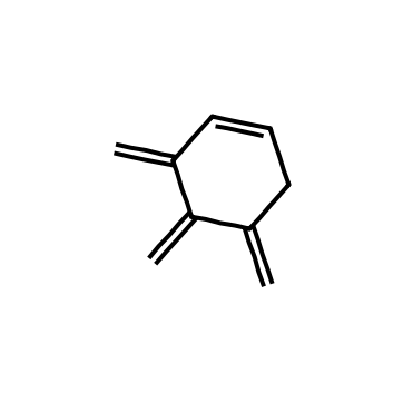 C=C1C=CCC(=C)C1=C